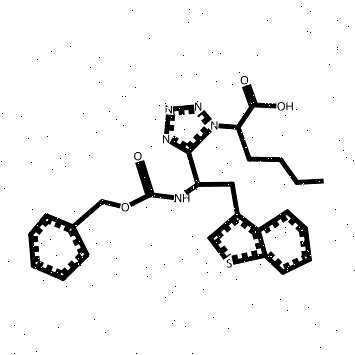 CCCCC(C(=O)O)n1nnnc1C(Cc1csc2ccccc12)NC(=O)OCc1ccccc1